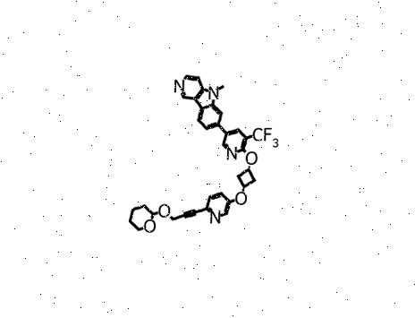 Cn1c2ccncc2c2ccc(-c3cnc(O[C@H]4C[C@H](Oc5ccc(C#CCOC6CCCCO6)nc5)C4)c(C(F)(F)F)c3)cc21